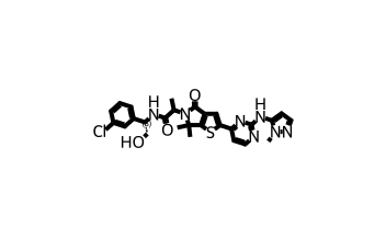 CC(C(=O)N[C@H](CO)c1cccc(Cl)c1)N1C(=O)c2cc(-c3ccnc(Nc4ccnn4C)n3)sc2C1(C)C